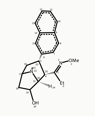 CCC(=NOC)[C@H]1[C@@H](c2ccc3ccccc3c2)CC2CC(O)[C@H]1N2C